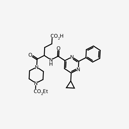 CCOC(=O)N1CCN(C(=O)C(CCC(=O)O)NC(=O)c2cc(C3CC3)nc(-c3ccccc3)n2)CC1